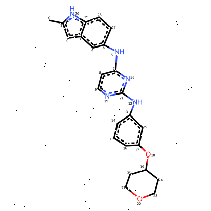 Cc1cc2cc(Nc3ccnc(Nc4cccc(OC5CCOCC5)c4)n3)ccc2[nH]1